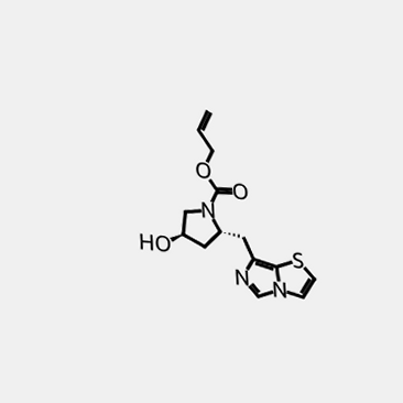 C=CCOC(=O)N1C[C@H](O)C[C@H]1Cc1ncn2ccsc12